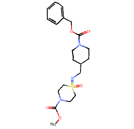 CC(C)(C)OC(=O)N1CCS(=O)(=NCC2CCN(C(=O)OCc3ccccc3)CC2)CC1